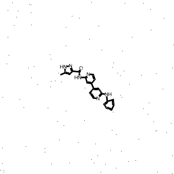 Cc1cc(C(=O)Nc2cc(-c3ccnc(Nc4ccccc4)c3)ccn2)n[nH]1